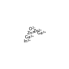 [Ga+3].[Ga+3].[In+3].[O-2].[Zn+2].[Zn+2]